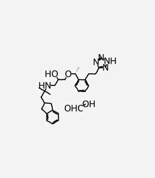 C[C@@H](OC[C@H](O)CNC(C)(C)CC1Cc2ccccc2C1)c1ccccc1CCc1nn[nH]n1.O=CO